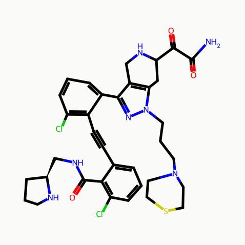 NC(=O)C(=O)C1Cc2c(c(-c3cccc(Cl)c3C#Cc3cccc(Cl)c3C(=O)NC[C@@H]3CCCN3)nn2CCCN2CCSCC2)CN1